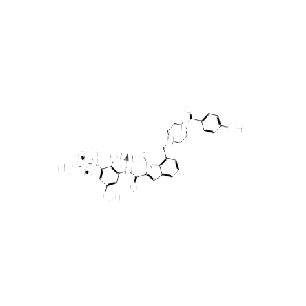 COc1c(NC(=O)c2cc3cccc(CN4CCN(C(=O)c5ccc(C)cc5)CC4)c3n2C)cc(C(C)(C)C)cc1NS(C)(=O)=O